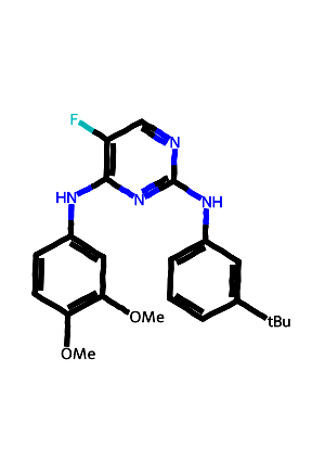 COc1ccc(Nc2nc(Nc3cccc(C(C)(C)C)c3)ncc2F)cc1OC